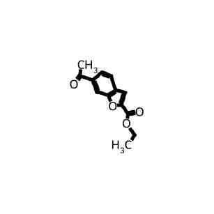 CCOC(=O)c1cc2ccc(C(C)=O)cc2o1